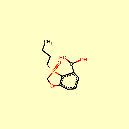 CCCC[P@@]1(=O)COc2cccc(B(O)O)c21